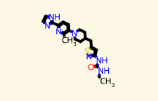 CCNC(=O)Nc1cc(CC2CCN(c3ccc(-c4ncc[nH]4)nc3C)CC2)sn1